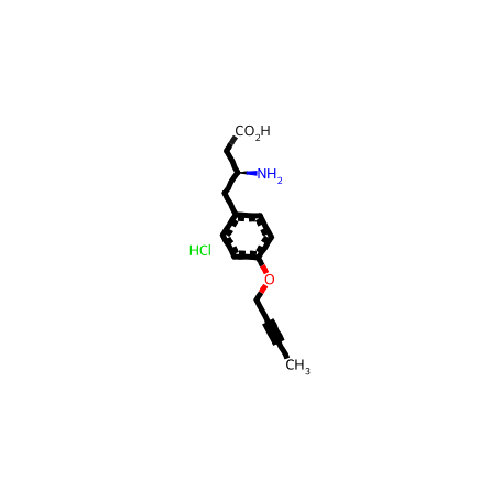 CC#CCOc1ccc(C[C@H](N)CC(=O)O)cc1.Cl